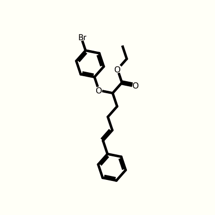 CCOC(=O)C(CC/C=C/c1ccccc1)Oc1ccc(Br)cc1